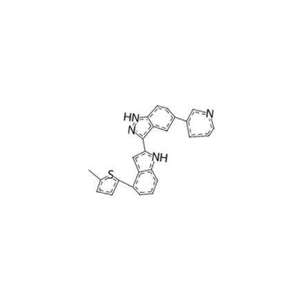 Cc1ccc(-c2cccc3[nH]c(-c4n[nH]c5ccc(-c6cccnc6)cc45)cc23)s1